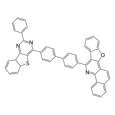 C1=CC2Sc3c(-c4ccc(-c5ccc(-c6nc7c8ccccc8ccc7c7oc8ccccc8c67)cc5)cc4)nc(-c4ccccc4)nc3C2C=C1